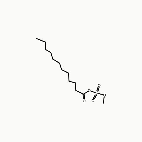 CCCCCCCCCCCC(=O)OS(=O)(=O)OC